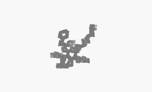 CCCCOC1[C@H](O/C(=N/c2ccccc2)C(F)(F)F)OC(COCSSCN=[N+]=[N-])[C@@H](OCCCC)[C@@H]1OCCCC